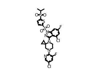 CC(C)S(=O)(=O)c1ccc(S(=O)(=O)n2nc(N3CCN(c4ncc(Cl)cc4F)CC34CC4)c3c(Cl)cc(F)cc32)s1